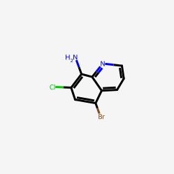 Nc1c(Cl)cc(Br)c2cccnc12